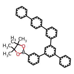 CC1(C)OB(c2cccc(-c3cc(-c4ccccc4)cc(-c4cccc(-c5ccc(-c6ccccc6)cc5)c4)c3)c2)OC1(C)C